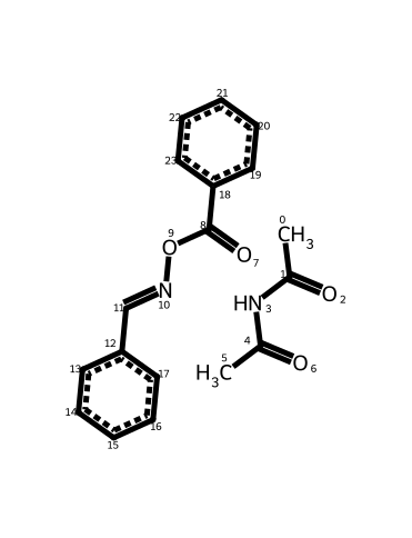 CC(=O)NC(C)=O.O=C(ON=Cc1ccccc1)c1ccccc1